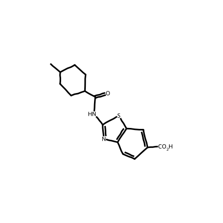 CC1CCC(C(=O)Nc2nc3ccc(C(=O)O)cc3s2)CC1